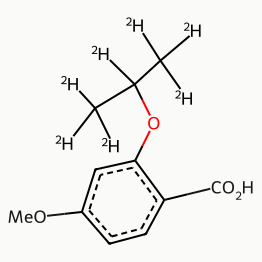 [2H]C([2H])([2H])C([2H])(Oc1cc(OC)ccc1C(=O)O)C([2H])([2H])[2H]